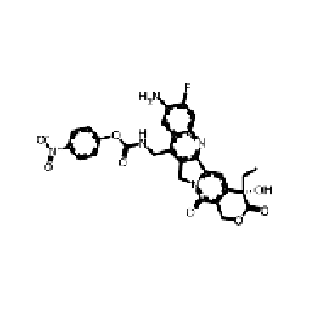 CC[C@@]1(O)C(=O)OCc2c1cc1n(c2=O)Cc2c-1nc1cc(F)c(N)cc1c2CNC(=O)Oc1ccc([N+](=O)[O-])cc1